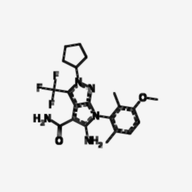 COc1ccc(C)c(-n2c(N)c(C(N)=O)c3c(C(F)(F)F)n(C4CCCC4)nc32)c1C